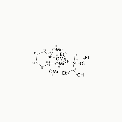 CCO[Si](C)(OCC)C(O)CC.COC1(OC)CCCC[Si]1(OC)OC